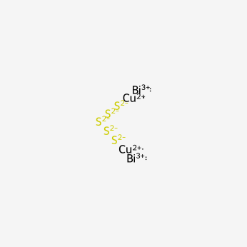 [Bi+3].[Bi+3].[Cu+2].[Cu+2].[S-2].[S-2].[S-2].[S-2].[S-2]